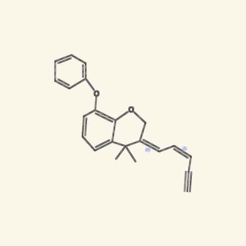 C#C/C=C\C=C1/COc2c(Oc3ccccc3)cccc2C1(C)C